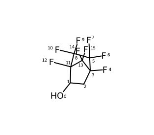 OC1CC2(F)C(F)(F)C(F)(F)C1(F)C2(F)F